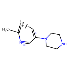 C=C(C)/N=C\C(=C/C)N1CCNCC1